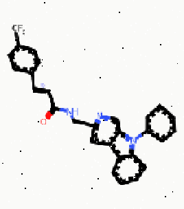 O=C(/C=C/c1ccc(C(F)(F)F)cc1)NCc1cc2c3ccccc3n(-c3ccccc3)c2cn1